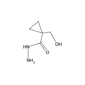 NNC(=O)C1(CO)CC1